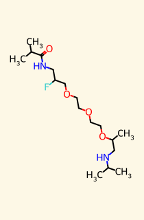 CC(C)NCC(C)OCCOCCOCC(F)CNC(=O)C(C)C